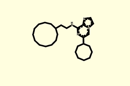 c1cn2cc(C3CCCCCCC3)nc(NCCC3CCCCCCCCCCC3)c2n1